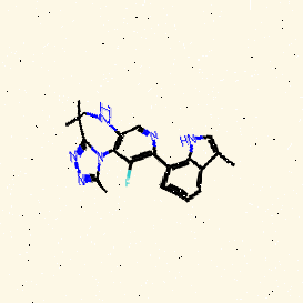 Cc1c[nH]c2c(-c3ncc4c(c3F)-n3c(C)nnc3C(C)(C)N4)cccc12